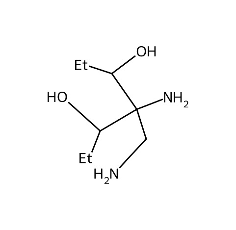 CCC(O)C(N)(CN)C(O)CC